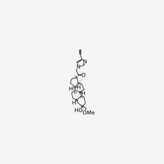 C#Cc1cn(CC(=O)[C@H]2CC[C@H]3[C@@H]4CC[C@H]5C[C@@](O)(COC)CC[C@]5(C)[C@H]4CC[C@]23C)cn1